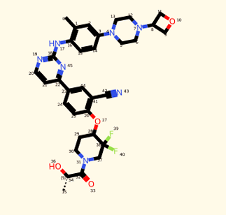 Cc1cc(N2CCN(C3COC3)CC2)ccc1Nc1nccc(-c2ccc(OC3CCN(C(=O)[C@H](C)O)CC3(F)F)c(C#N)c2)n1